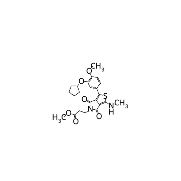 CNc1sc(-c2ccc(OC)c(OC3CCCC3)c2)c2c1C(=O)N(CCC(=O)OC)C2=O